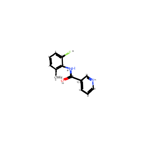 COc1cccc(F)c1NC(=O)c1cccnc1